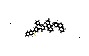 c1ccc2cc3c(cc2c1)sc1cc2c4ccc(-c5c6ccccc6c(-c6ccc7ccc8ccccc8c7c6)c6ccccc56)cc4c4ccccc4c2cc13